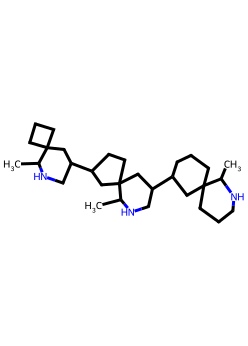 CC1NCCCC12CCCC(C1CNC(C)C3(CCC(C4CNC(C)C5(CCC5)C4)C3)C1)C2